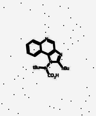 CCCCc1nc2cnc3ccccc3c2n1N(C(=O)O)C(C)(C)C